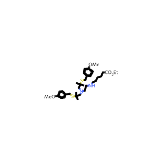 CCOC(=O)CCCCCNCCN(CC(C)(C)SCc1ccc(OC)cc1)CC(C)(C)SCc1ccc(OC)cc1